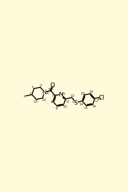 CC1CCN(C(=O)c2cccc(CSc3ccc(Cl)cc3)n2)CC1